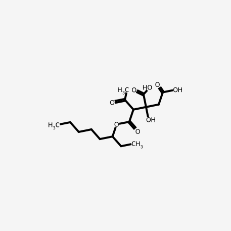 CCCCCC(CC)OC(=O)C(C(C)=O)C(O)(CC(=O)O)C(=O)O